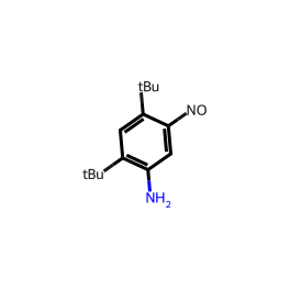 CC(C)(C)c1cc(C(C)(C)C)c(N=O)cc1N